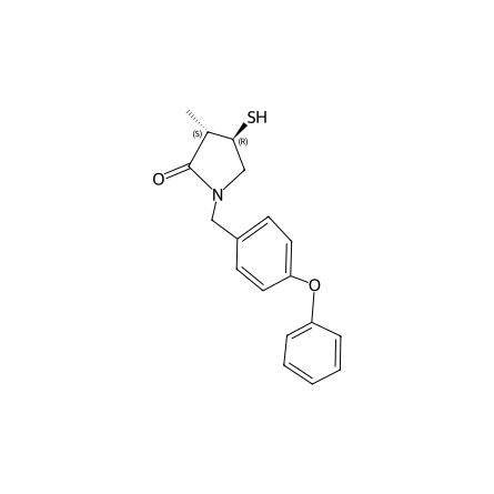 C[C@H]1C(=O)N(Cc2ccc(Oc3ccccc3)cc2)C[C@@H]1S